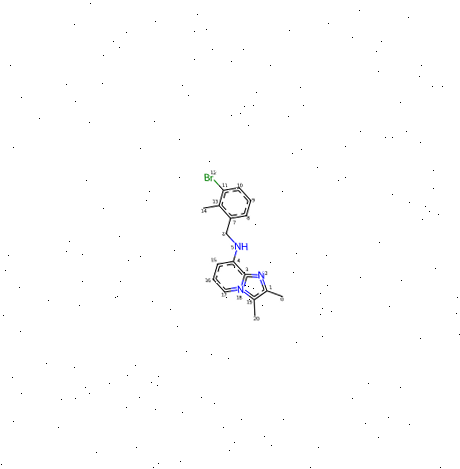 Cc1nc2c(NCc3cccc(Br)c3C)cccn2c1C